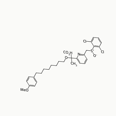 COc1ccc(CCCCCCCCOC(C)(C(=O)O)c2cccc(C[S+]([O-])c3c(Cl)cccc3Cl)n2)cc1